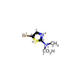 CN(C(=O)O)c1ncc(Br)s1